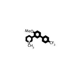 COc1ccc(-c2ccc(C(F)(F)F)cc2)cc1C1CCCN(C)C1